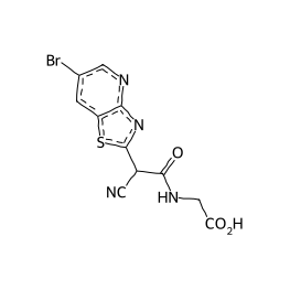 N#CC(C(=O)NCC(=O)O)c1nc2ncc(Br)cc2s1